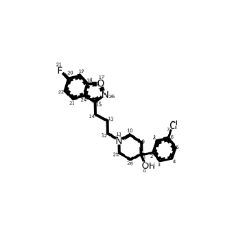 OC1(c2cccc(Cl)c2)CCN(CCCc2noc3cc(F)ccc23)CC1